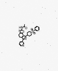 CC(=O)Nc1nc2c(s1)-c1c(c(-c3cccnc3)nn1C1CCN(S(=O)(=O)c3ccccc3)CC1)CC2